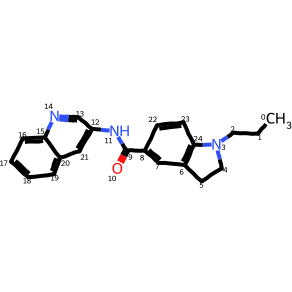 CCCN1CCc2cc(C(=O)Nc3cnc4ccccc4c3)ccc21